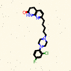 O=C1CCc2ccc(CCCCCN3CCN(c4ccc(F)cc4Cl)CC3)nc2N1